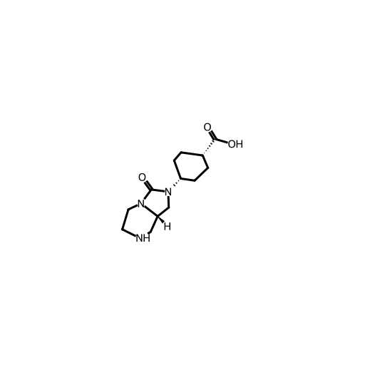 O=C1N2CCNC[C@H]2CN1[C@H]1CC[C@@H](C(=O)O)CC1